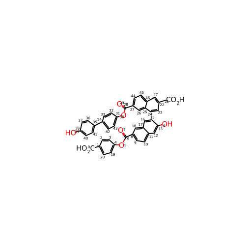 O=C(O)c1ccc(OC(=O)c2ccc3cc(O)ccc3c2)cc1.O=C(O)c1ccc2cc(C(=O)Oc3ccc(-c4ccc(O)cc4)cc3)ccc2c1